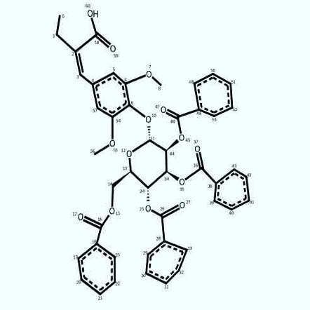 CCC(=Cc1cc(OC)c(O[C@H]2O[C@H](COC(=O)c3ccccc3)[C@@H](OC(=O)c3ccccc3)[C@H](OC(=O)c3ccccc3)[C@@H]2OC(=O)c2ccccc2)c(OC)c1)C(=O)O